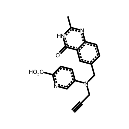 C#CCN(Cc1ccc2nc(C)[nH]c(=O)c2c1)c1ccc(C(=O)O)nc1